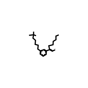 CCCCCC/C(=C\I)c1cccc(CCCCCC(C)(C)C)c1